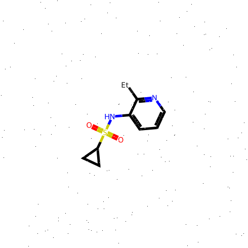 CCc1ncccc1NS(=O)(=O)C1CC1